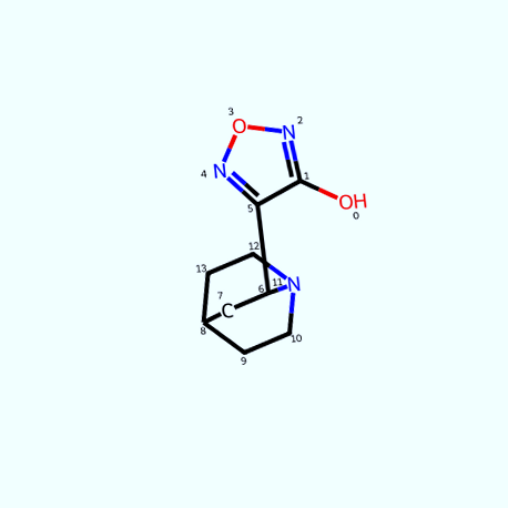 Oc1nonc1C1CC2CCN1CC2